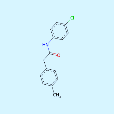 Cc1ccc(CC(=O)Nc2ccc(Cl)cc2)cc1